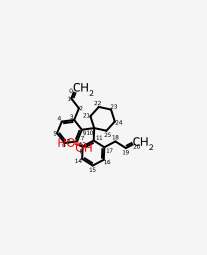 C=CCc1cccc(O)c1C1(c2c(O)cccc2CC=C)CCCCC1